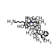 CN[C@H](C(=O)N[C@H](C(=O)N(C)[C@H](/C=C(\C)C(=O)NC(CCCCN)C(=O)O)C(C)C)C(C)(C)C)C(C)(C)c1cn(C)c2ccccc12